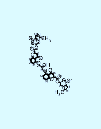 Cc1ncc([N+](=O)[O-])n1CCOC(=O)c1cc(=O)c2c(OCC(O)COc3cccc4oc(C(=O)OCCn5c([N+](=O)[O-])cnc5C)cc(=O)c34)cccc2o1